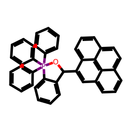 c1ccc(P2(c3ccccc3)(c3ccccc3)OC(c3cc4cccc5ccc6cccc3c6c54)c3ccccc32)cc1